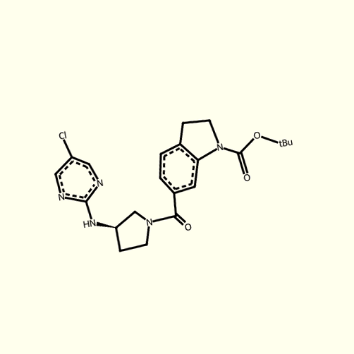 CC(C)(C)OC(=O)N1CCc2ccc(C(=O)N3CC[C@@H](Nc4ncc(Cl)cn4)C3)cc21